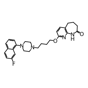 O=C1CCCc2ccc(OCCCCN3CCN(c4cccc5ccc(F)cc45)CC3)nc2N1